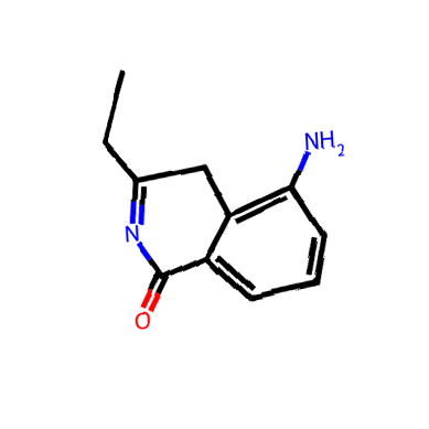 CCC1=NC(=O)c2cccc(N)c2C1